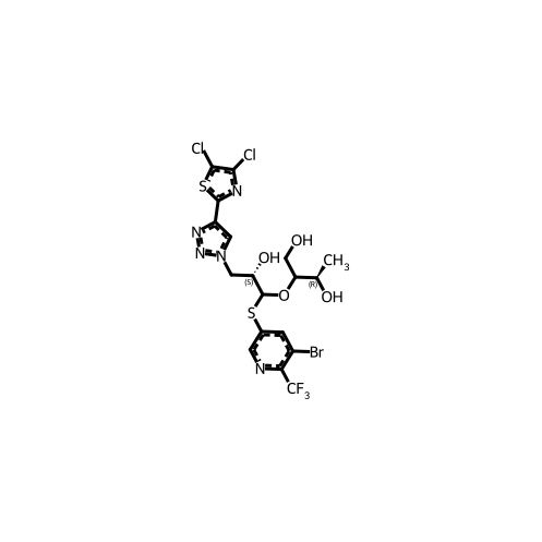 C[C@@H](O)C(CO)OC(Sc1cnc(C(F)(F)F)c(Br)c1)[C@@H](O)Cn1cc(-c2nc(Cl)c(Cl)s2)nn1